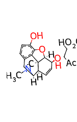 CC(=O)CCC(=O)O.CN1CC[C@]23c4c5ccc(O)c4O[C@H]2[C@@H](O)C=C[C@H]3[C@H]1C5